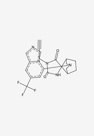 C#CCN1C(=O)NC2(C1=O)C1CCC2CN(c2cc(C(F)(F)F)cc3cncn23)C1